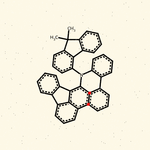 CC1(C)c2ccccc2-c2c(N(c3ccccc3-c3ccccc3)c3ccc4cccc5c4c3-c3ccccc3-5)cccc21